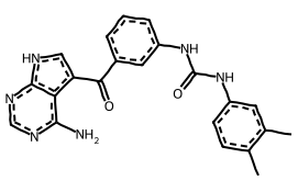 Cc1ccc(NC(=O)Nc2cccc(C(=O)c3c[nH]c4ncnc(N)c34)c2)cc1C